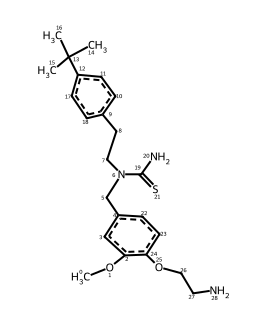 COc1cc(CN(CCc2ccc(C(C)(C)C)cc2)C(N)=S)ccc1OCCN